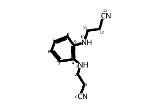 N#CCCNc1[c]cccc1NCCC#N